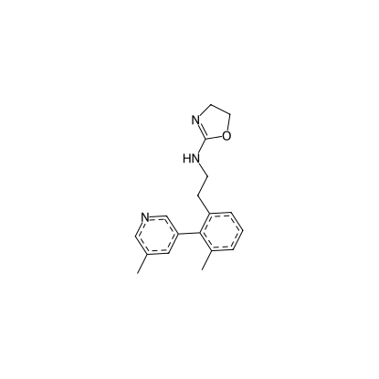 Cc1cncc(-c2c(C)cccc2CCNC2=NCCO2)c1